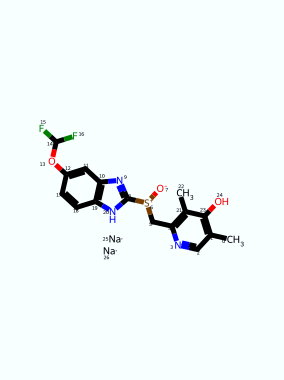 Cc1cnc(C[S+]([O-])c2nc3cc(OC(F)F)ccc3[nH]2)c(C)c1O.[Na].[Na]